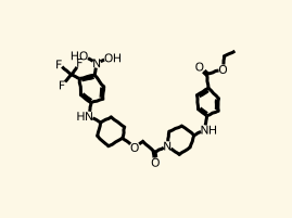 CCOC(=O)c1ccc(NC2CCN(C(=O)COC3CCC(Nc4ccc(N(O)O)c(C(F)(F)F)c4)CC3)CC2)cc1